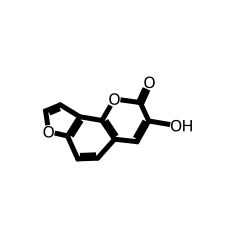 O=c1oc2c(ccc3occc32)cc1O